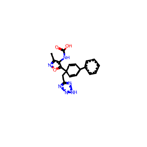 Cc1noc(C2(Cc3nn[nH]n3)C=CC(c3ccccc3)C=C2)c1NC(=O)O